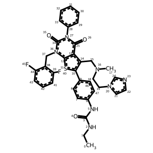 CCNC(=O)Nc1ccc(-c2sc3c(c2CN(C)CCn2ccnc2)c(=O)n(-c2ccccc2)c(=O)n3Cc2c(F)cccc2F)cc1